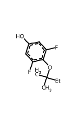 CCC(C)(C)Oc1c(F)cc(O)cc1F